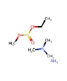 CCOS(=O)OC.CN(C)C.N